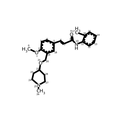 COc1ccc(/C=C/C(=O)Nc2ccccc2C)cc1COC1CCN(C)CC1